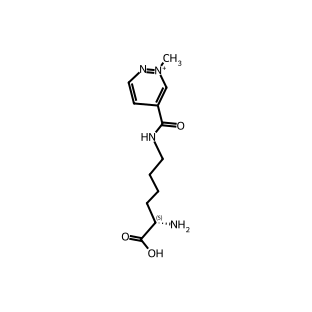 C[n+]1cc(C(=O)NCCCC[C@H](N)C(=O)O)ccn1